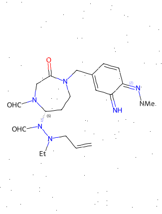 C=CCN(CC)N(C=O)[C@H]1CCN(CC2=CC(=N)/C(=N\NC)C=C2)C(=O)CN1C=O